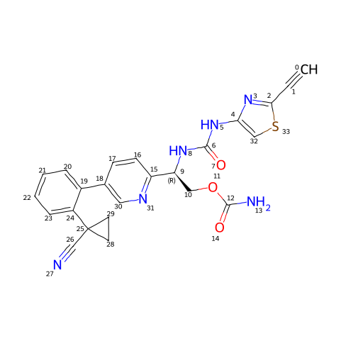 C#Cc1nc(NC(=O)N[C@@H](COC(N)=O)c2ccc(-c3ccccc3C3(C#N)CC3)cn2)cs1